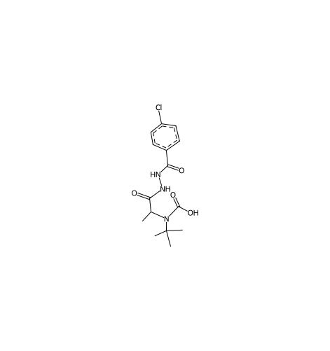 CC(C(=O)NNC(=O)c1ccc(Cl)cc1)N(C(=O)O)C(C)(C)C